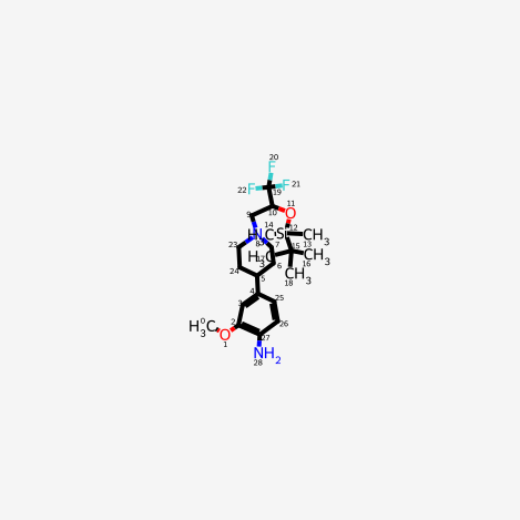 COc1cc(C2CCN(CC(O[Si](C)(C)C(C)(C)C)C(F)(F)F)CC2)ccc1N